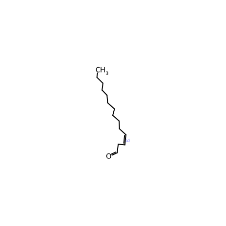 CCCCCCCCCC/C=C\CC=O